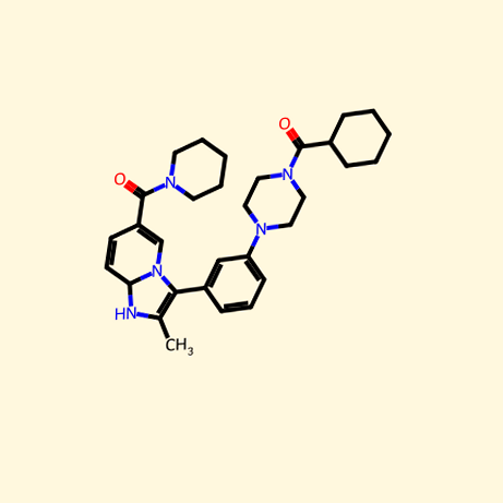 CC1=C(c2cccc(N3CCN(C(=O)C4CCCCC4)CC3)c2)N2C=C(C(=O)N3CCCCC3)C=CC2N1